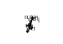 C[Si](C)(C)CCOCn1cc(I)c2c(OC3CCC3)nc(Cl)nc21